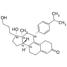 CC(C)c1ccc([C@H]2C[C@@]3(C)[C@@H](CC[C@@]3(O)CCCO)[C@@H]3CCC4=CC(=O)CCC4=C32)cc1